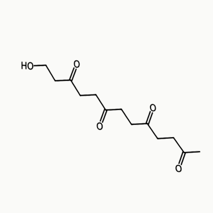 CC(=O)CCC(=O)CCC(=O)CCC(=O)CCO